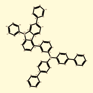 c1ccc(-c2ccc(N(c3ccc(-c4ccccc4)cc3)c3cccc(-c4cccc5c4c4ccc(-c6ccccc6)cc4n5-c4ccccc4)c3)cc2)cc1